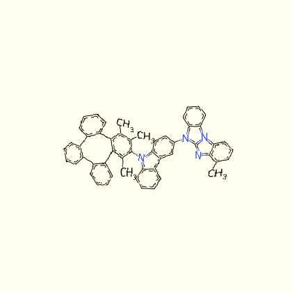 Cc1c(C)c(-n2c3ccccc3c3cc(-n4c5ccccc5n5c6cccc(C)c6nc45)ccc32)c(C)c2c1-c1ccccc1-c1ccccc1-c1ccccc1-2